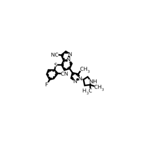 Cc1c(-c2cc(Sc3ccc(F)cc3C#N)c3c(C#N)cnn3c2)cnn1[C@@H]1CNC(C)(C)C1